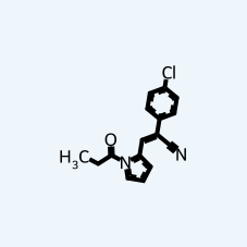 CCC(=O)n1cccc1C=C(C#N)c1ccc(Cl)cc1